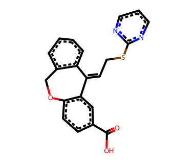 O=C(O)c1ccc2c(c1)/C(=C/CSc1ncccn1)c1ccccc1CO2